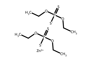 CCOP(=S)([S-])OCC.CCOP(=S)([S-])OCC.[Zn+2]